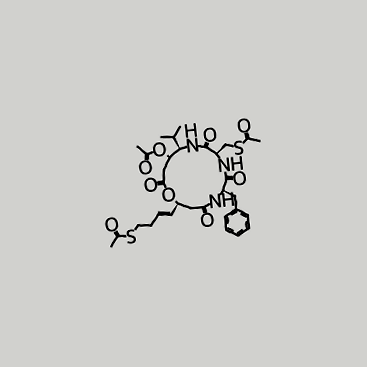 CC(=O)O[C@H]1CC(=O)O[C@H](/C=C/CCSC(C)=O)CC(=O)N[C@H](Cc2ccccc2)C(=O)N[C@H](CSC(C)=O)C(=O)N[C@@H]1C(C)C